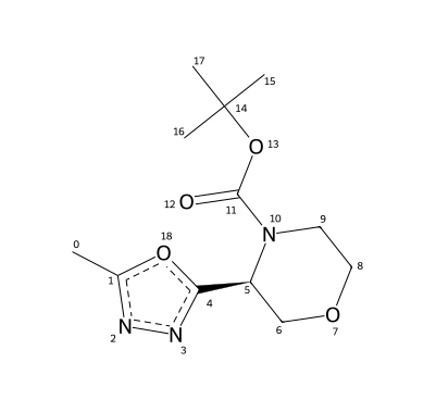 Cc1nnc([C@@H]2COCCN2C(=O)OC(C)(C)C)o1